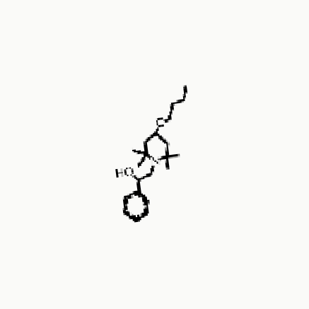 CCCCOC1CC(C)(C)N(CC(O)c2ccccc2)C(C)(C)C1